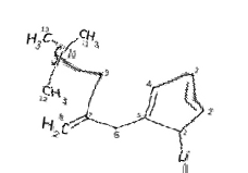 [Li][CH]1C=CC=C1CC(=C)C[Si](C)(C)C